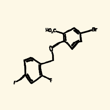 O=C(O)c1cc(Br)ccc1OCc1ccc(F)cc1F